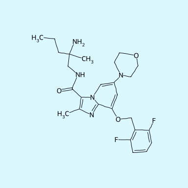 CCCC(C)(N)CNC(=O)c1c(C)nc2c(OCc3c(F)cccc3F)cc(N3CCOCC3)cn12